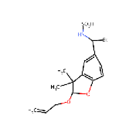 C=CCOC1Oc2ccc(C(CC)NS(=O)(=O)O)cc2C1(C)C